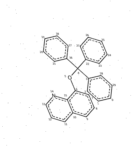 c1ccc(C(Oc2cccc3cccnc23)(c2ccccc2)c2ccccc2)cc1